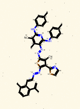 C=C(C)c1cccc(C)c1/C=C/N=Nc1sc(N=Nc2c(Nc3ccc(C)cc3)nc(Nc3ccc(C)cc3)c(C#N)c2C)c(C#N)c1-c1nccs1